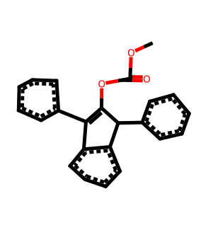 COC(=O)OC1=C(c2ccccc2)c2ccccc2C1c1ccccc1